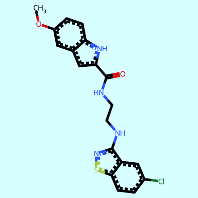 COc1ccc2[nH]c(C(=O)NCCNc3nsc4ccc(Cl)cc34)cc2c1